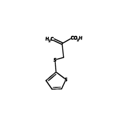 C=C(CSc1cccs1)C(=O)O